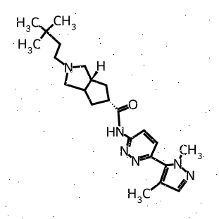 Cc1cnn(C)c1-c1ccc(NC(=O)[C@@H]2CC3CN(CCC(C)(C)C)C[C@@H]3C2)nn1